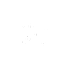 CCSCC.OP(O)(O)=S